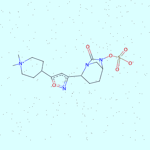 C[N+]1(C)CCC(c2cc(C3CCC4CN3C(=O)N4OS(=O)(=O)[O-])no2)CC1